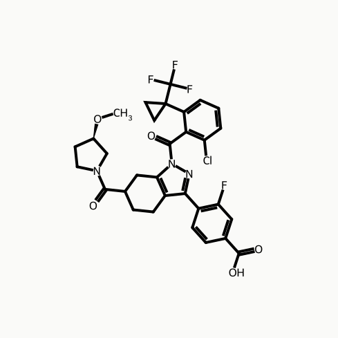 CO[C@@H]1CCN(C(=O)C2CCc3c(-c4ccc(C(=O)O)cc4F)nn(C(=O)c4c(Cl)cccc4C4(C(F)(F)F)CC4)c3C2)C1